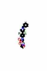 O=C1O[C@@H](Cn2occc2=O)CN1c1cc(F)c(C2=CCN(Cc3ccccc3)CC2)c(F)c1